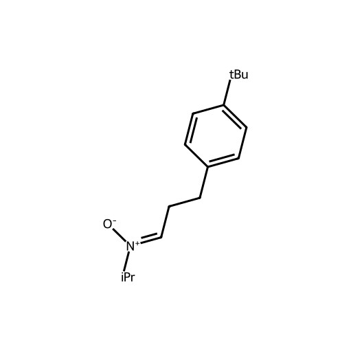 CC(C)[N+]([O-])=CCCc1ccc(C(C)(C)C)cc1